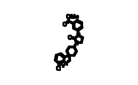 COC(=O)c1cccc(N2CCN(C3CCC(CN)(c4cccc(Cl)c4)CC3)C2=O)c1